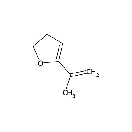 C=C(C)C1=CCCO1